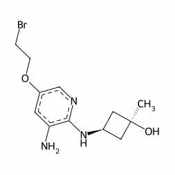 C[C@]1(O)C[C@@H](Nc2ncc(OCCBr)cc2N)C1